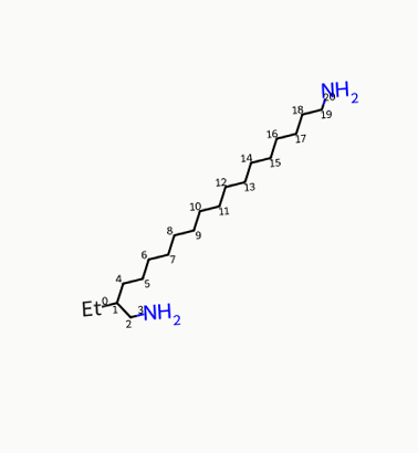 CCC(CN)CCCCCCCCCCCCCCCCN